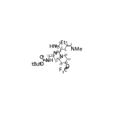 CC/C(=C/NC)C/C(C(C)=N)=C(/N=C(\C)CNC(=O)OC(C)(C)C)N1CCC(OC(F)(F)F)CC1